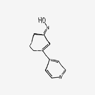 O/N=C1/C=C(c2ccncc2)CCC1